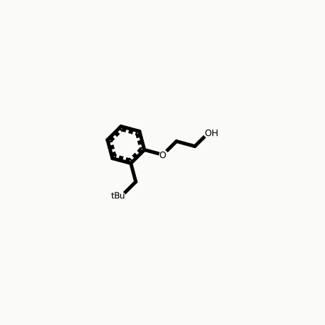 CC(C)(C)Cc1ccccc1OCCO